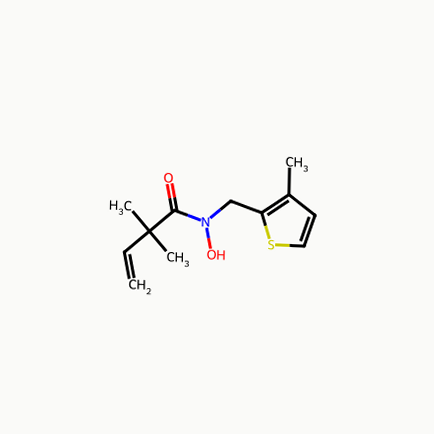 C=CC(C)(C)C(=O)N(O)Cc1sccc1C